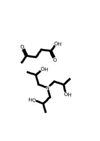 CC(=O)CCC(=O)O.CC(O)CN(CC(C)O)CC(C)O